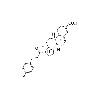 C[C@]12CC[C@H]3[C@@H](CC=C4C=C(C(=O)O)CC[C@@]43C)[C@@H]1CC[C@@H]2C(=O)CCc1ccc(F)cc1